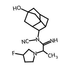 CC(C(=N)N(C#N)C1C2CC3CC1CC(O)(C3)C2)N1CCC(F)C1